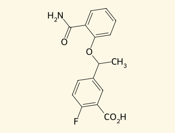 CC(Oc1ccccc1C(N)=O)c1ccc(F)c(C(=O)O)c1